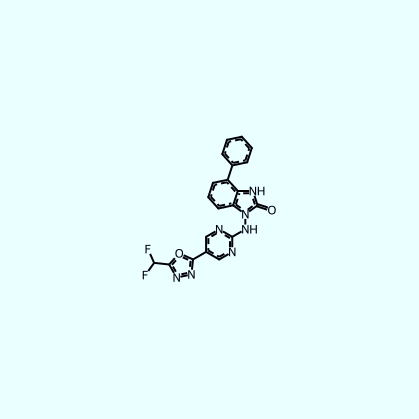 O=c1[nH]c2c(-c3ccccc3)cccc2n1Nc1ncc(-c2nnc(C(F)F)o2)cn1